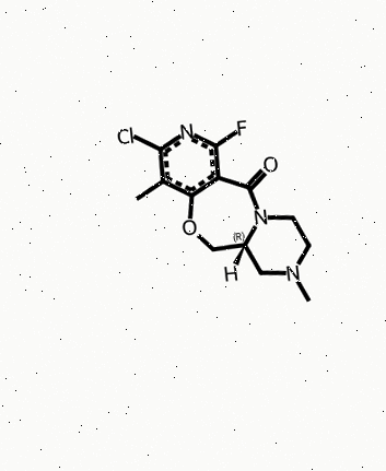 Cc1c(Cl)nc(F)c2c1OC[C@H]1CN(C)CCN1C2=O